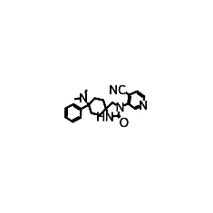 CN(C)C1(c2ccccc2)CCC2(CC1)CN(c1cnccc1C#N)C(=O)N2